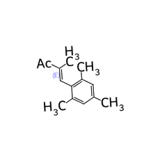 CC(=O)/C(C)=C/c1c(C)cc(C)cc1C